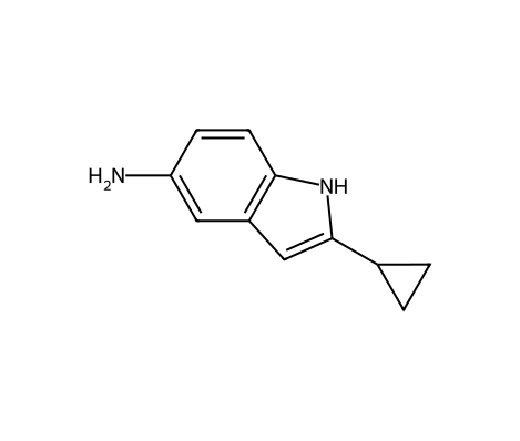 Nc1ccc2[nH]c(C3CC3)cc2c1